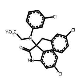 O=C(O)CN(c1cccc(Cl)c1)C1(Cc2cccc(Cl)c2)C(=O)Nc2cc(Cl)ccc21